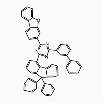 c1ccc(-c2cccc(-c3nc(-c4ccc5c(c4)oc4ccccc45)nc(-c4cccc5c4-c4ccccc4C5(c4ccccc4)c4ccccc4)n3)c2)cc1